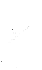 Br.CN(C)CCCOCCCCCO